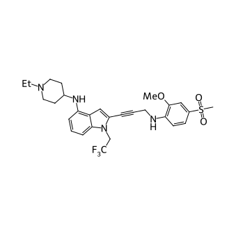 CCN1CCC(Nc2cccc3c2cc(C#CCNc2ccc(S(C)(=O)=O)cc2OC)n3CC(F)(F)F)CC1